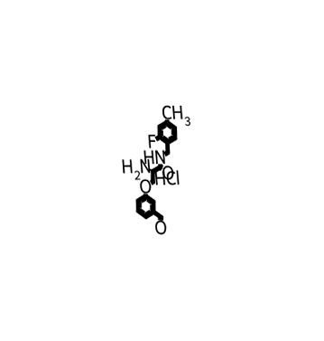 Cc1ccc(CNC(=O)[C@@H](N)COc2cccc(C=O)c2)c(F)c1.Cl